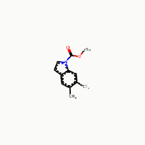 Cc1cc2ccn(C(=O)OC(C)(C)C)c2cc1C(F)(F)F